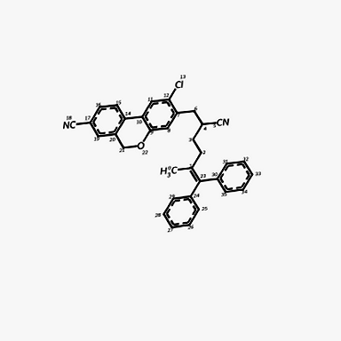 CC(CCC(C#N)Cc1cc2c(cc1Cl)-c1ccc(C#N)cc1CO2)=C(c1ccccc1)c1ccccc1